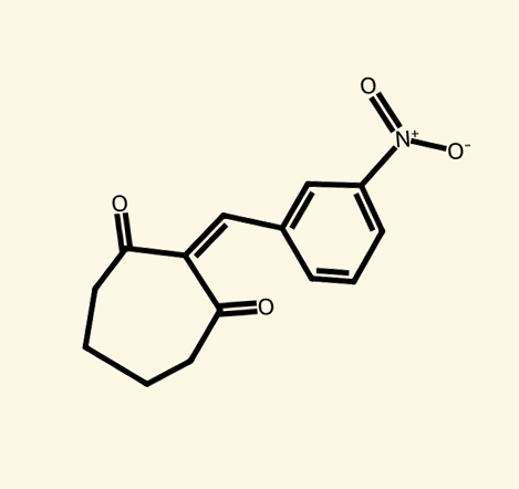 O=C1CCCCC(=O)C1=Cc1cccc([N+](=O)[O-])c1